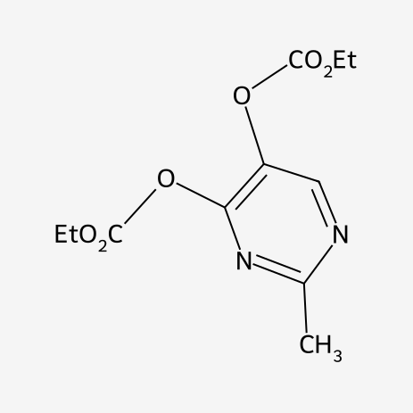 CCOC(=O)Oc1cnc(C)nc1OC(=O)OCC